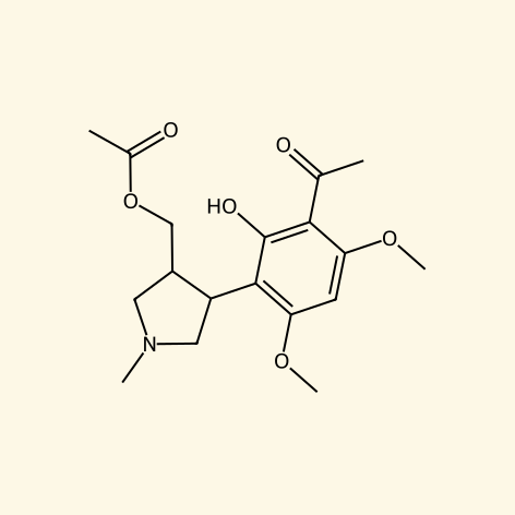 COc1cc(OC)c(C2CN(C)CC2COC(C)=O)c(O)c1C(C)=O